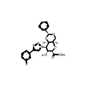 COC(=O)[C@@H]1O[C@@H]2CO[C@H](c3ccccc3)O[C@@H]2[C@H](n2cc(-c3cccc(F)c3)nn2)[C@H]1OC(C)=O